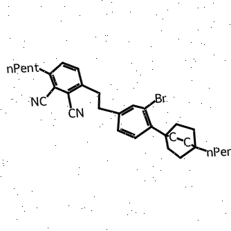 CCCCCc1ccc(CCc2ccc(C34CCC(CCCCC)(CC3)CC4)c(Br)c2)c(C#N)c1C#N